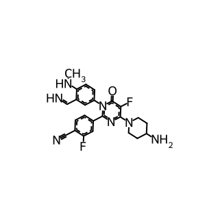 CNc1ccc(-n2c(-c3ccc(C#N)c(F)c3)nc(N3CCC(N)CC3)c(F)c2=O)cc1C=N